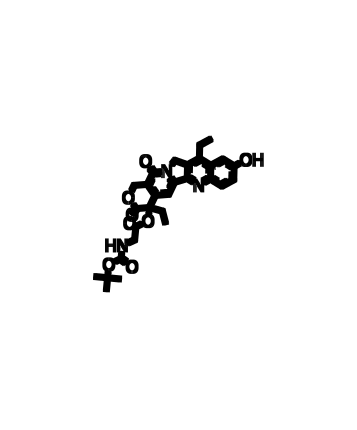 CCc1c2c(nc3ccc(O)cc13)-c1cc3c(c(=O)n1C2)COC(=O)C3(CC)OC(=O)CNC(=O)OC(C)(C)C